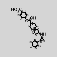 O=C(O)c1ccc(OC(O)N2CCC3(CC2)CC(N[C@@H]2C[C@H]2c2ccccc2)CO3)cc1